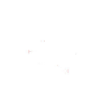 COc1cc(/C=C(/C(C)=O)C(=O)O)cc(OC)c1O